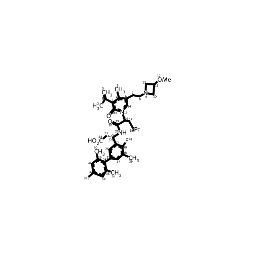 C=C(C)c1c(C)c(CCN2CC(OC)C2)cn(C(CC(C)C)C(=O)N[C@@H](CC(=O)O)c2cc(-c3c(C)cc(I)cc3C)cc(C)c2F)c1=O